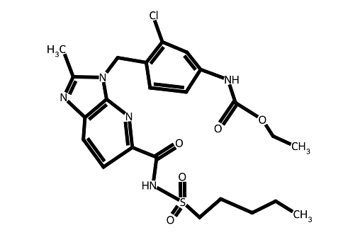 CCCCCS(=O)(=O)NC(=O)c1ccc2nc(C)n(Cc3ccc(NC(=O)OCC)cc3Cl)c2n1